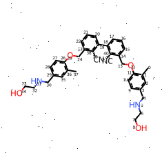 Cc1cc(CNCCO)ccc1OCc1cccc(-c2cccc(COc3ccc(CNCCO)cc3C)c2C#N)c1C#N